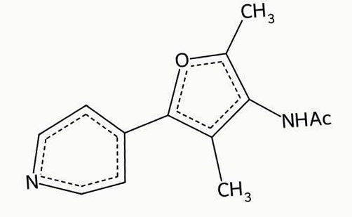 CC(=O)Nc1c(C)oc(-c2ccncc2)c1C